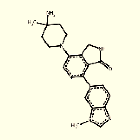 Cn1cnc2ccc(-c3ncc(N4CCC(C)(N)CC4)c4c3C(=O)NC4)cc21